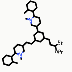 CCCC(CC)CCC1CC(CCC2CCC(C3CCCCC3C)N(C)C2)CC(C2CCC(C3CCCCC3C)N(C)C2)C1